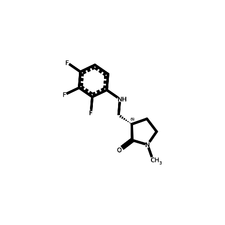 CN1CC[C@@H](CNc2ccc(F)c(F)c2F)C1=O